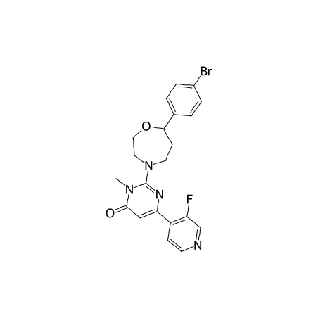 Cn1c(N2CCOC(c3ccc(Br)cc3)CC2)nc(-c2ccncc2F)cc1=O